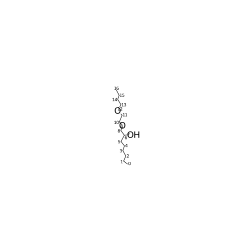 CCCCCCC(O)COCCOCCCC